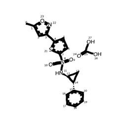 Cc1cc(-c2ccc(S(=O)(=O)N[C@H]3C[C@@H]3c3ccccc3)s2)no1.O=C(O)O